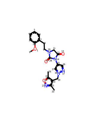 COc1ccccc1CCN1CC(=O)N(c2cnn(Cc3c(C)noc3C)c2)C1=O